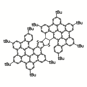 CC(C)(C)c1ccc2c(c1)c1cc(C(C)(C)C)cc3c4cc(C(C)(C)C)cc5c6cc(C(C)(C)C)cc7c8cc(C(C)(C)C)cc9c8c8c(c2c(c13)c(c45)c8c76)C1Sc2c(sc3c2c2cc(C(C)(C)C)cc4c5cc(C(C)(C)C)cc6c7cc(C(C)(C)C)cc8c%10cc(C(C)(C)C)cc%11c%12cc(C(C)(C)C)ccc%12c%12c3c(c42)c(c56)c(c87)c%12c%11%10)C91